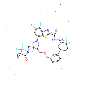 CNC(=O)c1nc2c(F)c(F)cc(N3CC(COCc4cccc(C5CCC(F)(F)CC5)c4)C4(CN(C(=O)C5(C(F)(F)F)CC5)C4)C3)c2s1